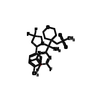 CS(=O)(=O)CC1(C(N)(c2nc(F)c(F)c(F)n2)N2CC(F)(F)CC2c2ccc(C(F)(F)F)cc2)CCOCC1